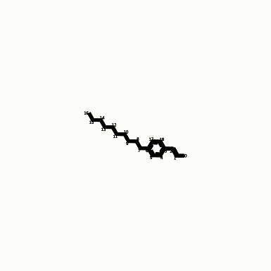 CC=Cc1ccc(CCCCCCCCCC)cc1